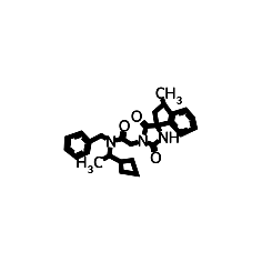 CC1CC2(NC(=O)N(CC(=O)N(Cc3ccccc3)C(C)C3CCC3)C2=O)c2ccccc21